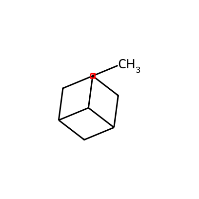 CCC1C2CCCC1C2